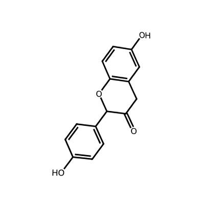 O=C1Cc2cc(O)ccc2OC1c1ccc(O)cc1